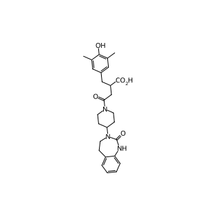 Cc1cc(CC(CC(=O)N2CCC(N3CCc4ccccc4NC3=O)CC2)C(=O)O)cc(C)c1O